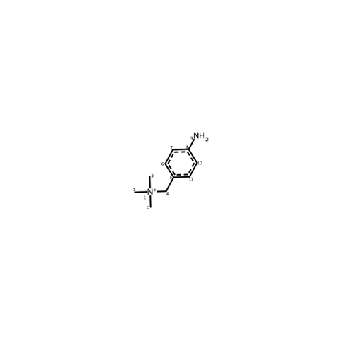 C[N+](C)(C)Cc1ccc(N)cc1